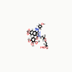 COc1ccc(N2C[C@@H]3C(=N2)c2cc4c(cc2[C@@H](c2cc(OC)c(OC)c(OC)c2)[C@H]3C(=O)NCCC(C)(C)OCCC(C)(C)C(=O)O)OCO4)cc1